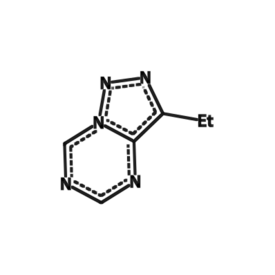 CCc1nnn2cncnc12